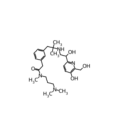 CN(C)CCCN(C)C(=O)Cc1cccc(CC(C)(C)NCC(O)c2ccc(O)c(CO)n2)c1